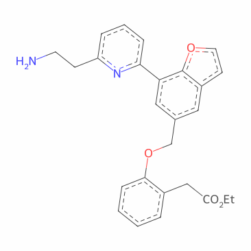 CCOC(=O)Cc1ccccc1OCc1cc(-c2cccc(CCN)n2)c2occc2c1